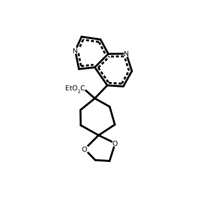 CCOC(=O)C1(c2ccnc3ccncc23)CCC2(CC1)OCCO2